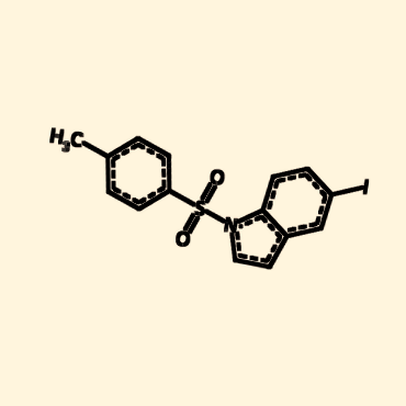 Cc1ccc(S(=O)(=O)n2ccc3cc(I)ccc32)cc1